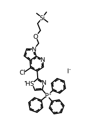 C[SH]1C=C([P+](c2ccccc2)(c2ccccc2)c2ccccc2)N=C1c1cnc2c(ccn2COCC[Si](C)(C)C)c1Cl.[I-]